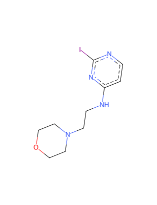 Ic1nccc(NCCN2CCOCC2)n1